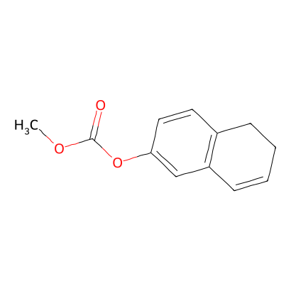 COC(=O)Oc1ccc2c(c1)C=CCC2